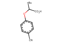 CCCCC(Oc1ccc(C#N)cc1)C(=O)O